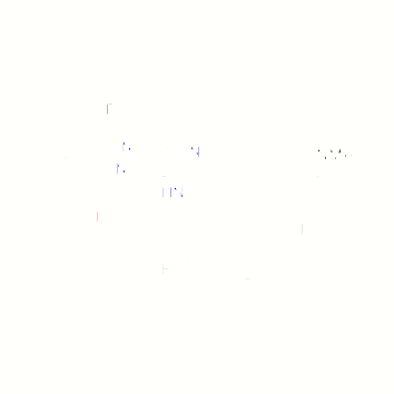 CNC(=O)c1cc(-c2cccnc2[C@H](Cc2cc(F)cc(F)c2)NC(=O)Cn2nc(C(F)(F)F)c3c2C(O)C2CC32)ccc1F